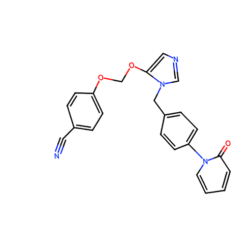 N#Cc1ccc(OCOc2cncn2Cc2ccc(-n3ccccc3=O)cc2)cc1